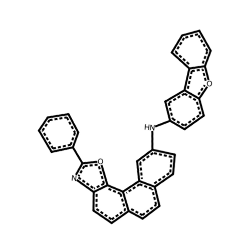 c1ccc(-c2nc3ccc4ccc5ccc(Nc6ccc7oc8ccccc8c7c6)cc5c4c3o2)cc1